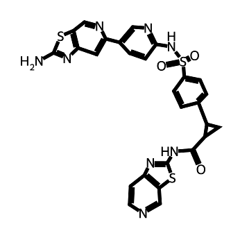 Nc1nc2cc(-c3ccc(NS(=O)(=O)c4ccc(C5CC5C(=O)Nc5nc6ccncc6s5)cc4)nc3)ncc2s1